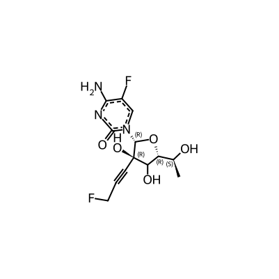 C[C@H](O)[C@H]1O[C@@H](n2cc(F)c(N)nc2=O)[C@@](O)(C#CCF)C1O